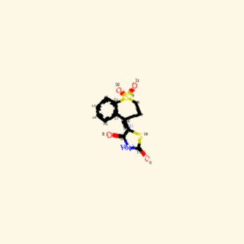 O=C1NC(=O)/C(=C2/CCS(=O)(=O)c3ccccc32)S1